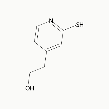 OCCc1ccnc(S)c1